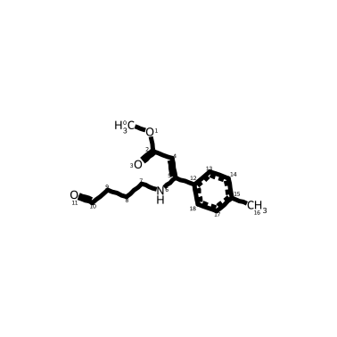 COC(=O)/C=C(\NCCCC=O)c1ccc(C)cc1